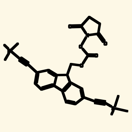 C[Si](C)(C)C#Cc1ccc2c(c1)C(COC(=O)ON1C(=O)CCC1=O)c1cc(C#C[Si](C)(C)C)ccc1-2